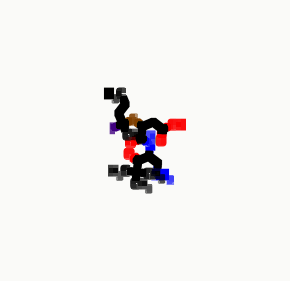 CCCC(C)(I)SC(CC(=O)O)C(=O)NC(CN)C(=O)C(C)(C)C